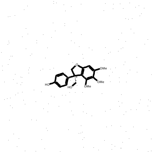 COc1cc2c(c(OC)c1OC)[C@@](CO)(c1ccc(O)cc1)CO2